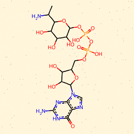 CC(N)C1OC(OP(=O)(O)OP(=O)(O)OCC2OC(n3cnc4c(=O)[nH]c(N)nc43)C(O)C2O)C(O)C(O)C1O